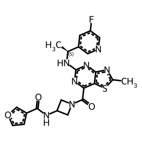 Cc1nc2nc(N[C@@H](C)c3cncc(F)c3)nc(C(=O)N3CC(NC(=O)c4ccoc4)C3)c2s1